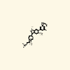 CCc1cc2c(C3CCN(C(=O)CCN(C)C)CC3)n[nH]c2cc1-c1cc(C)c2ncnn2c1